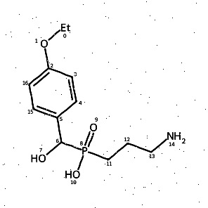 CCOc1ccc(C(O)P(=O)(O)CCCN)cc1